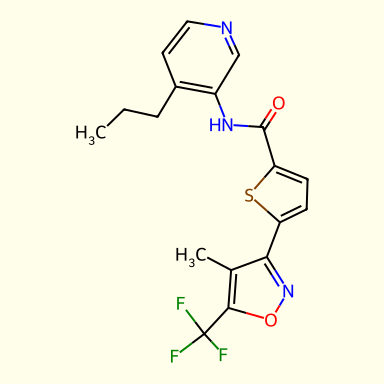 CCCc1ccncc1NC(=O)c1ccc(-c2noc(C(F)(F)F)c2C)s1